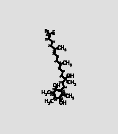 C/C(=C\CC/C(C)=C/CC[C@@](C)(O)CCc1c(C)c(O)c(C)c(C)c1O)CCC=C(F)F